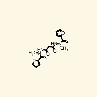 CN(NC(=O)CC(=O)NN(C)C(=S)c1ccco1)C(=S)C1=CCCO1